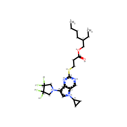 CCCCC(CC)COC(=O)CCSc1ncc2c(n1)c(N1CC(F)(F)C(F)(F)C1)cn2C1CC1